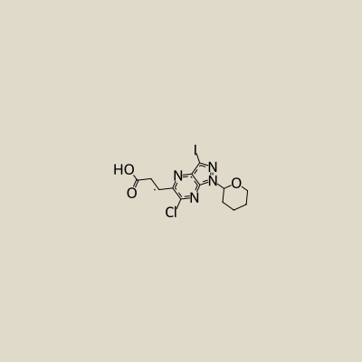 O=C(O)C[CH]c1nc2c(I)nn(C3CCCCO3)c2nc1Cl